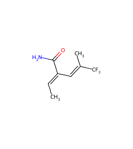 C/C=C(\C=C(/C)C(F)(F)F)C(N)=O